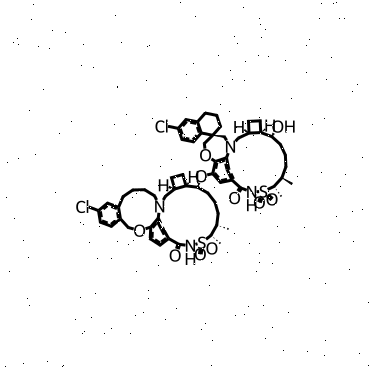 C[C@@H]1CCC[C@H](O)[C@@H]2CC[C@H]2CN2C[C@@]3(CCCc4cc(Cl)ccc43)COc3c(O[C@H]4CCC[C@H](C)[C@H](C)S(=O)(=O)NC(=O)c5ccc6c(c5)N(CCCCc5cc(Cl)ccc5CO6)C[C@@H]5CC[C@H]54)cc(cc32)C(=O)NS(=O)(=O)[C@H]1C